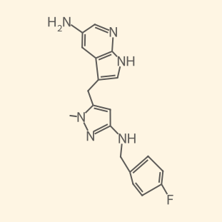 Cn1nc(NCc2ccc(F)cc2)cc1Cc1c[nH]c2ncc(N)cc12